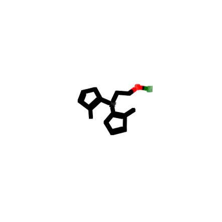 CC1=[C]([Zr]([CH2]COCl)[C]2=C(C)C=CC2)CC=C1